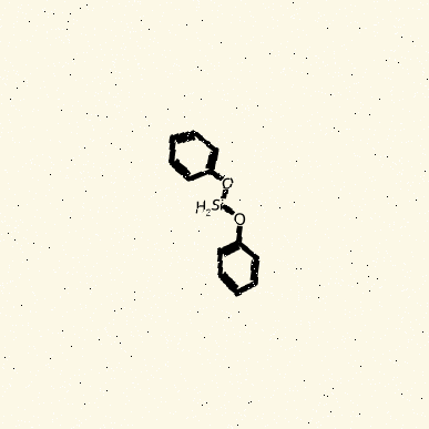 c1ccc(O[SiH2]Oc2ccccc2)cc1